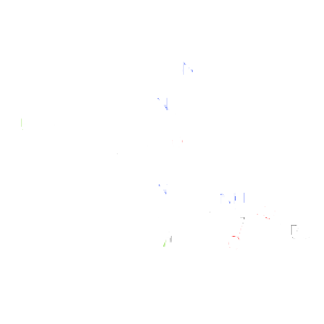 CC(C)(C)OC(=O)N[C@@H]1C[C@@H](F)CN(C2CC(c3ccc(F)cc3)CC2Oc2ccncn2)C1